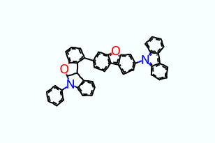 c1ccc(N2c3ccccc3C3c4c(cccc4-c4ccc5c(c4)oc4cc(-n6c7ccccc7c7ccccc76)ccc45)OC32)cc1